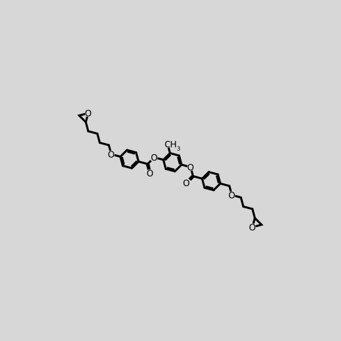 Cc1cc(OC(=O)c2ccc(COCCCC3CO3)cc2)ccc1OC(=O)c1ccc(OCCCCC2CO2)cc1